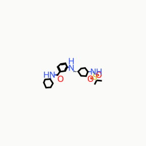 CC(C)S(=O)(=O)N[C@H]1CC[C@H](CNc2cccc(C(=O)NC3CCCCC3)c2)CC1